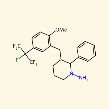 COc1ccc(C(F)(C(F)(F)F)C(F)(F)F)cc1CC1CCCN(N)C1c1ccccc1